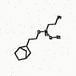 CCO[SiH](CCC(C)C)OCCC1CC2CCC1C2